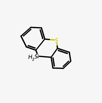 c1ccc2c(c1)[SiH2]c1ccccc1S2